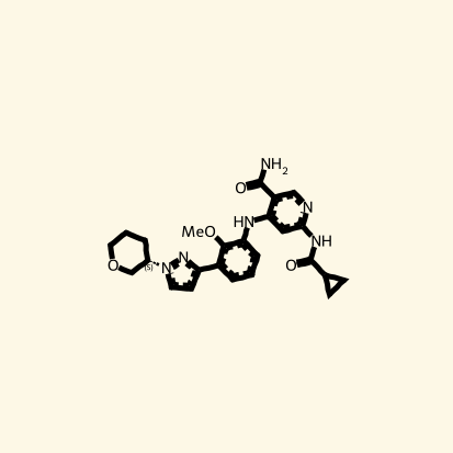 COc1c(Nc2cc(NC(=O)C3CC3)ncc2C(N)=O)cccc1-c1ccn([C@H]2CCCOC2)n1